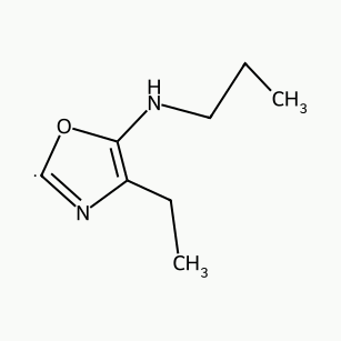 CCCNc1o[c]nc1CC